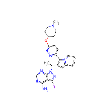 CC(c1cc2ccccn2c1-c1ccc(OC2CCN(C)CC2)nn1)n1nc(I)c2c(N)ncnc21